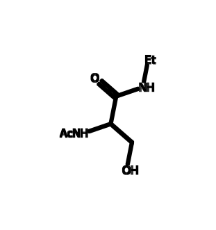 [CH2]CNC(=O)C(CO)NC(C)=O